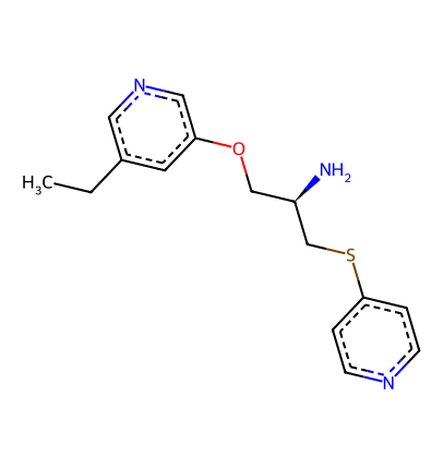 CCc1cncc(OC[C@@H](N)CSc2ccncc2)c1